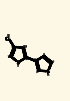 Clc1csc(-c2[c]csc2)c1